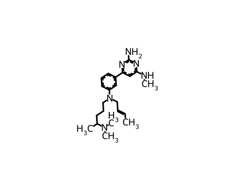 CC=CCN(CCCC(C)N(C)C)c1cccc(-c2cc(NC)nc(N)n2)c1